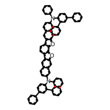 c1ccc(-c2ccc(N(c3ccccc3)c3ccc4cc5c(cc4c3)oc3c5ccc4c5cc6ccc(N(c7ccccc7)c7ccc(-c8ccccc8)cc7-c7ccccc7)cc6cc5oc43)c(-c3ccccc3)c2)cc1